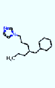 CCCC(CCCn1ccnc1)CC1CCCCC1